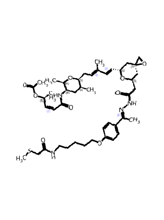 CSCC(=O)NCCCCCOc1ccc(/C(C)=N/NC(=O)C[C@@H]2C[C@@]3(CO3)C[C@@H](/C=C/C(C)=C/C[C@@H]3O[C@H](C)[C@H](NC(=O)/C=C\[C@H](C)OC(C)=O)C[C@@H]3C)O2)cc1